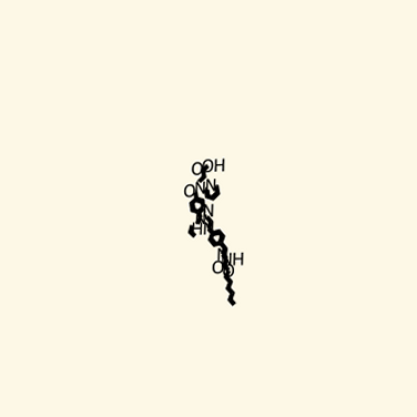 CCC.CCCCCCOC(=O)NN=Cc1ccc(NCc2nc3cc(C(=O)N(CCC(=O)O)c4ccccn4)ccc3n2C)cc1